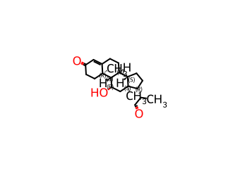 CC(C=O)[C@H]1CC[C@H]2[C@@H]3CCC4=CC(=O)CC[C@]4(C)[C@H]3[C@H](O)C[C@]12C